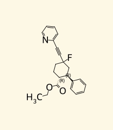 CCOC(=O)[C@@H]1CCC(F)(C#Cc2ccccn2)C[C@H]1c1ccccc1